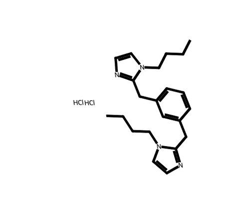 CCCCn1ccnc1Cc1cccc(Cc2nccn2CCCC)c1.Cl.Cl